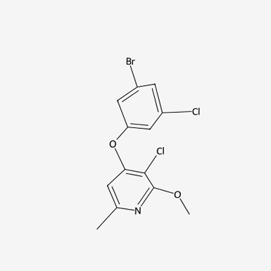 COc1nc(C)cc(Oc2cc(Cl)cc(Br)c2)c1Cl